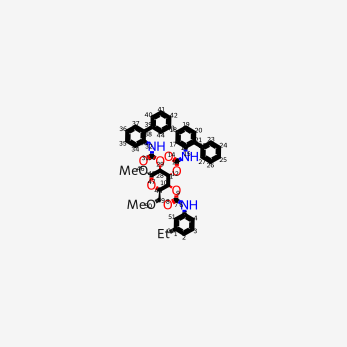 CCc1cccc(NC(=O)O[C@@H]2[C@@H](OC(=O)Nc3ccccc3-c3ccccc3)[C@H](OC(=O)Nc3ccccc3-c3ccccc3)[C@@H](OC)O[C@@H]2COC)c1